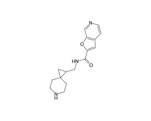 O=C(NCC1CC12CCNCC2)c1cc2ccncc2o1